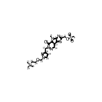 Cn1c2nc(COS(C)(=O)=O)sc2c2cnn(Cc3ccn(COCC[Si](C)(C)C)n3)c(=O)c21